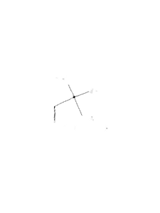 CCCCCCCCC(C(=O)[O-])(C(=O)[O-])C(C)C.[K+].[K+]